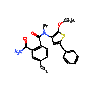 Cc1ccc(C(=O)N(c2cc(-c3ccccc3)sc2OC(=O)O)C(C)C)c(C(N)=O)c1